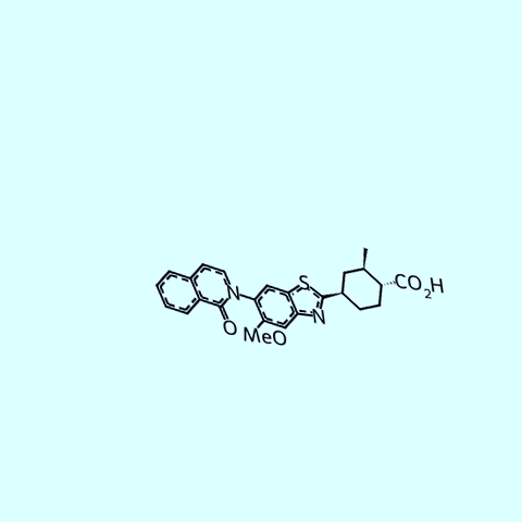 COc1cc2nc([C@@H]3CC[C@@H](C(=O)O)[C@H](C)C3)sc2cc1-n1ccc2ccccc2c1=O